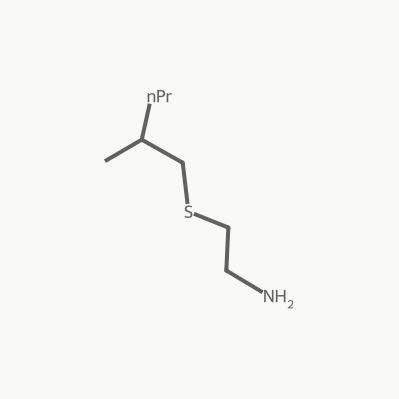 CCCC(C)CSCCN